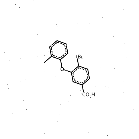 Cc1ccccc1Oc1cc(C(=O)O)ccc1C(C)(C)C